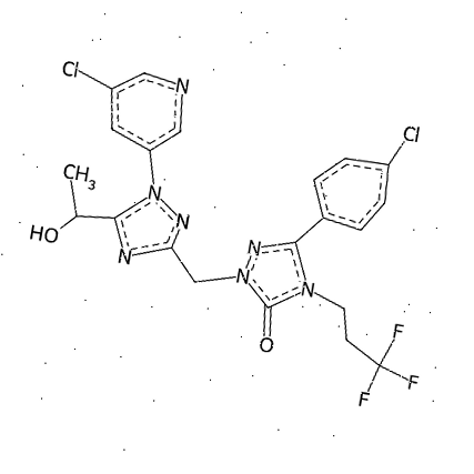 CC(O)c1nc(Cn2nc(-c3ccc(Cl)cc3)n(CCC(F)(F)F)c2=O)nn1-c1cncc(Cl)c1